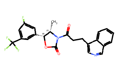 C[C@H]1[C@@H](c2cc(F)cc(C(F)(F)F)c2)OC(=O)N1C(=O)CCc1cncc2ccccc12